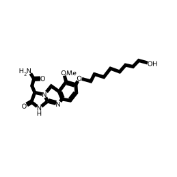 COc1c(OCCCCCCCCO)ccc2c1CN1C(=N2)NC(=O)C1CC(N)=O